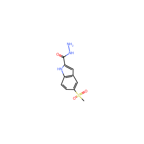 CS(=O)(=O)c1ccc2[nH]c(C(=O)NN)cc2c1